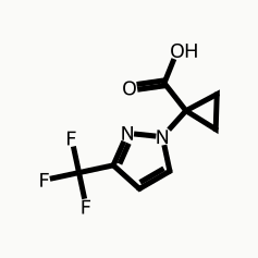 O=C(O)C1(n2ccc(C(F)(F)F)n2)CC1